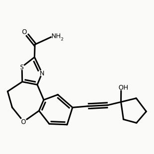 NC(=O)c1nc2c(s1)CCOc1ccc(C#CC3(O)CCCC3)cc1-2